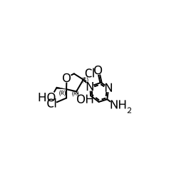 Nc1ccn([C@]2(Cl)CO[C@@](CO)(CCl)[C@H]2O)c(=O)n1